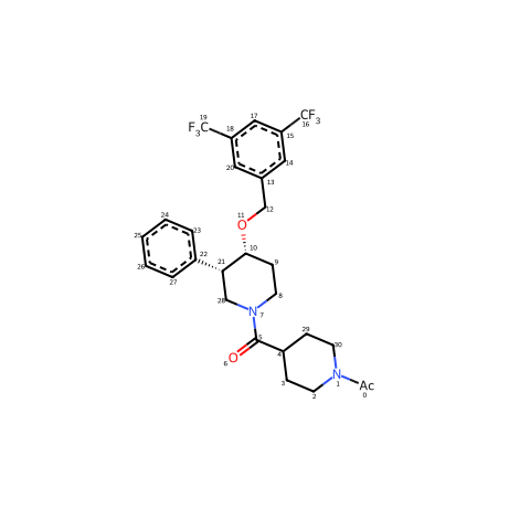 CC(=O)N1CCC(C(=O)N2CC[C@@H](OCc3cc(C(F)(F)F)cc(C(F)(F)F)c3)[C@@H](c3ccccc3)C2)CC1